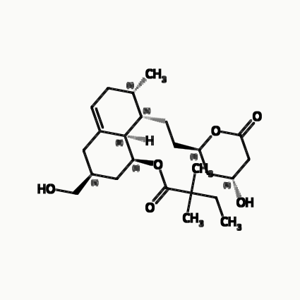 CCC(C)(C)C(=O)O[C@H]1C[C@@H](CO)CC2=CC[C@H](C)[C@H](CC[C@@H]3C[C@@H](O)CC(=O)O3)[C@H]21